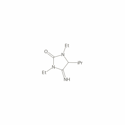 CCN1C(=N)C(C(C)C)N(CC)C1=O